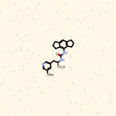 COc1cncc(C[C@@H](NC(=O)Nc2c3c(cc4c2CCC4)CCC3)C(=O)O)c1